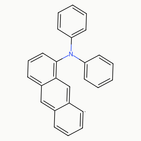 [c]1cccc2cc3cccc(N(c4ccccc4)c4ccccc4)c3cc12